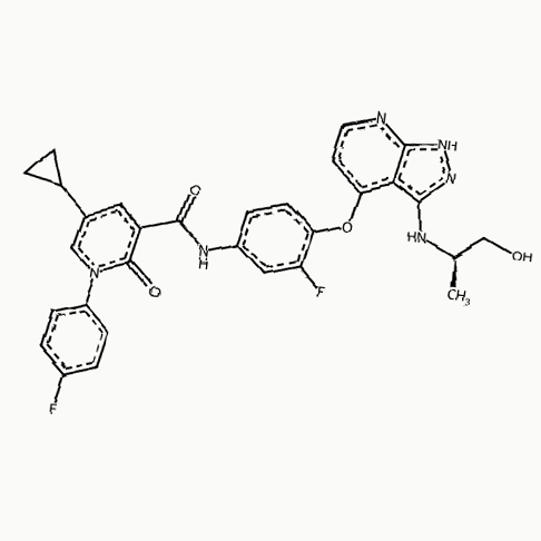 C[C@H](CO)Nc1n[nH]c2nccc(Oc3ccc(NC(=O)c4cc(C5CC5)cn(-c5ccc(F)cc5)c4=O)cc3F)c12